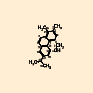 CO.Cc1ccc2c(ccc3cc(C(C)C)ccc32)c1C